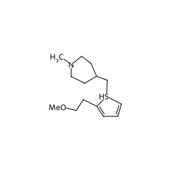 COCCC1=CC=C[SH]1CC1CCN(C)CC1